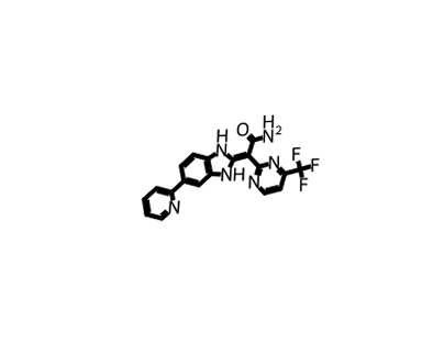 NC(=O)/C(=C1\Nc2ccc(-c3ccccn3)cc2N1)c1nccc(C(F)(F)F)n1